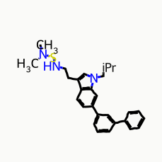 CC(C)Cn1cc(CCNSN(C)C)c2ccc(-c3cccc(-c4ccccc4)c3)cc21